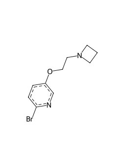 Brc1ccc(OCCN2CCC2)cn1